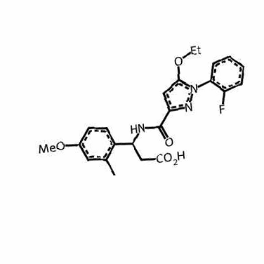 CCOc1cc(C(=O)NC(CC(=O)O)c2ccc(OC)cc2C)nn1-c1ccccc1F